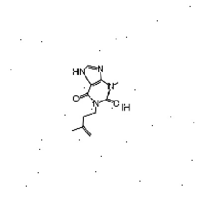 C=C(C)CCn1c(=O)c2[nH]cnc2n(C)c1=O.I